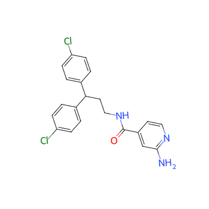 Nc1cc(C(=O)NCCC(c2ccc(Cl)cc2)c2ccc(Cl)cc2)ccn1